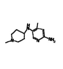 Cc1cc(N)ncc1NC1CCN(C)CC1